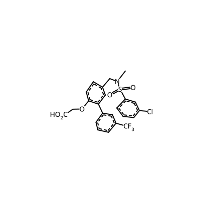 CN(Cc1ccc(OCC(=O)O)c(-c2cccc(C(F)(F)F)c2)c1)S(=O)(=O)c1cccc(Cl)c1